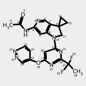 CC(=O)Nc1cc2c(cn1)C1(CC1)CN2c1cc(Oc2ccnnc2)nc(C(C)(F)F)n1